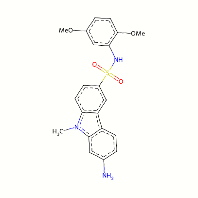 COc1ccc(OC)c(NS(=O)(=O)c2ccc3c(c2)c2ccc(N)cc2n3C)c1